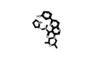 CC1CN(c2cnc3ccc(-c4cccc(O)c4)nc3c2C(=O)N(C)C[C@@H]2CCCN2)CC(C)O1